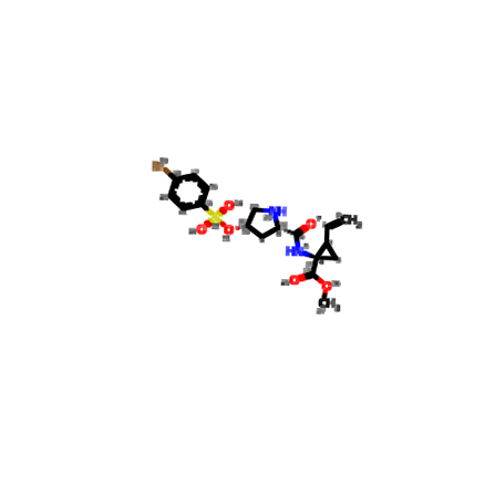 C=CC1C[C@]1(NC(=O)[C@@H]1C[C@H](OS(=O)(=O)c2ccc(Br)cc2)CN1)C(=O)OC